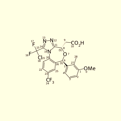 COc1cccc([C@@H]2O[C@@H](CC(=O)O)c3nnc(C(F)(F)Cl)n3-c3ccc(C(F)(F)F)cc32)c1C